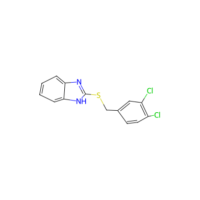 Clc1ccc(CSc2nc3ccccc3[nH]2)cc1Cl